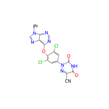 CC(C)n1cnc2c(Oc3c(Cl)cc(-n4nc(C#N)c(=O)[nH]c4=O)cc3Cl)ncnc21